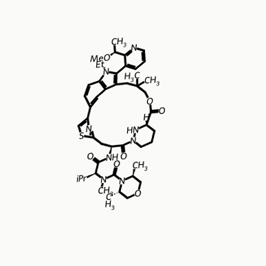 CCn1c(-c2cccnc2[C@H](C)OC)c2c3cc(ccc31)-c1csc(n1)C[C@H](NC(=O)[C@H](C(C)C)N(C)C(=O)N1[C@@H](C)COC[C@@H]1C)C(=O)N1CCC[C@H](N1)C(=O)OCC(C)(C)C2